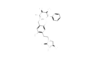 C[C@H]1C(=O)C(=O)[C@@H](c2ccccc2)SN1Cc1cc(F)c(CCN2CC(=O)NC2=O)cc1F